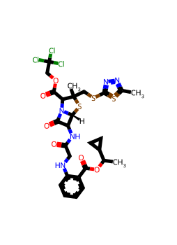 Cc1nnc(SCC2(C)S[C@@H]3C(NC(=O)CNc4ccccc4C(=O)OC(C)C4CC4)C(=O)N3C2C(=O)OCC(Cl)(Cl)Cl)s1